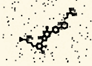 N=C(N)SCC[C@@H]1CCC[C@@H](c2ccc(-n3cc4cc(-c5cc(CCC[C@@H](N)C6CC6)cc(Cl)c5F)[nH]c4nc3=O)cc2)N1